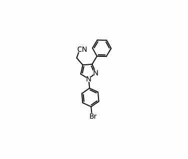 N#CCc1cn(-c2ccc(Br)cc2)nc1-c1ccccc1